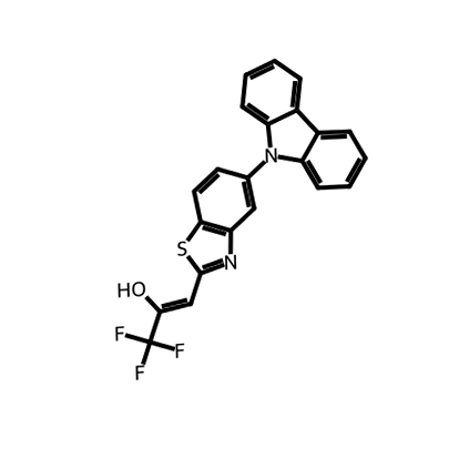 O/C(=C\c1nc2cc(-n3c4ccccc4c4ccccc43)ccc2s1)C(F)(F)F